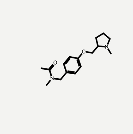 CC(=O)N(C)Cc1ccc(OCC2CCCN2C)cc1